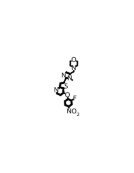 Cn1c(CN2CCOCC2)cnc1-c1cc2nccc(Oc3ccc([N+](=O)[O-])cc3F)c2s1